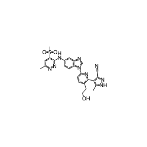 Cc1cc(S(C)(=O)=O)c(Nc2ccc3c(c2)ncn3-c2ccc(CCO)c(-c3c(C#N)n[nH]c3C)n2)nn1